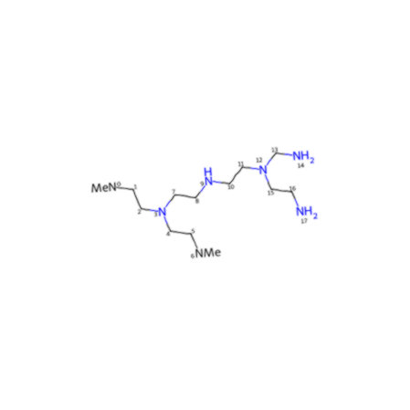 CNCCN(CCNC)CCNCCN(CN)CCN